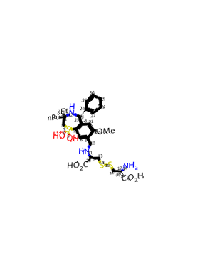 CCCC[C@]1(CC)CS(O)(O)c2cc(CN[C@@H](CSSC[C@H](N)C(=O)O)C(=O)O)c(OC)cc2[C@@H](c2ccccc2)N1